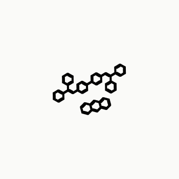 C(=C(c1ccccc1)c1ccccc1)c1ccc(-c2ccc(C=C(c3ccccc3)c3ccccc3)cc2)cc1.c1ccc2cc3ccccc3cc2c1